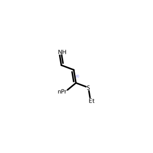 CCC/C(=C\C=N)SCC